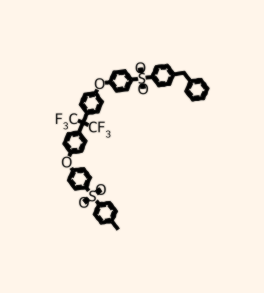 Cc1ccc(S(=O)(=O)c2ccc(Oc3ccc(C(c4ccc(Oc5ccc(S(=O)(=O)c6ccc(Cc7ccccc7)cc6)cc5)cc4)(C(F)(F)F)C(F)(F)F)cc3)cc2)cc1